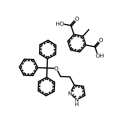 Cc1c(C(=O)O)cccc1C(=O)O.c1ccc(C(OCCc2cc[nH]n2)(c2ccccc2)c2ccccc2)cc1